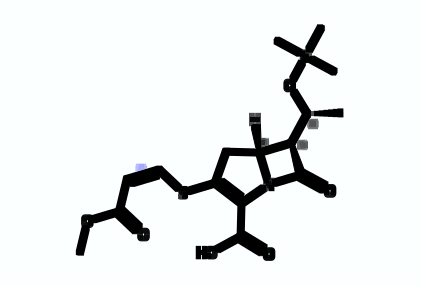 COC(=O)/C=C\SC1=C(C(=O)O)N2C(=O)[C@H]([C@@H](C)O[Si](C)(C)C)[C@H]2C1